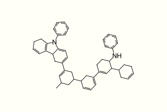 CC1C=C(C2=CC=C3C(C2)C2=C(CCC=C2)N3c2ccccc2)CC(C2C=CC=C(C3=CC(C4CC=CCC4)C(Nc4ccccc4)CC3)C2)C1